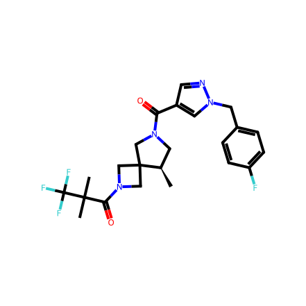 C[C@@H]1CN(C(=O)c2cnn(Cc3ccc(F)cc3)c2)CC12CN(C(=O)C(C)(C)C(F)(F)F)C2